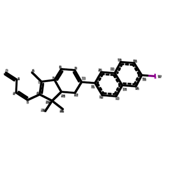 C=C/C=C\C1=C(C)C2=CC=C(c3ccc4cc(I)ccc4c3)CC2C1(C)C